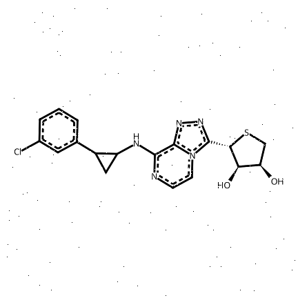 O[C@@H]1[C@H](O)CS[C@H]1c1nnc2c(NC3CC3c3cccc(Cl)c3)nccn12